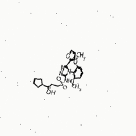 COc1cccc(OC)c1-n1c(NS(=O)(=O)CC[C@@H](O)C2CCCC2)nnc1-c1ccco1